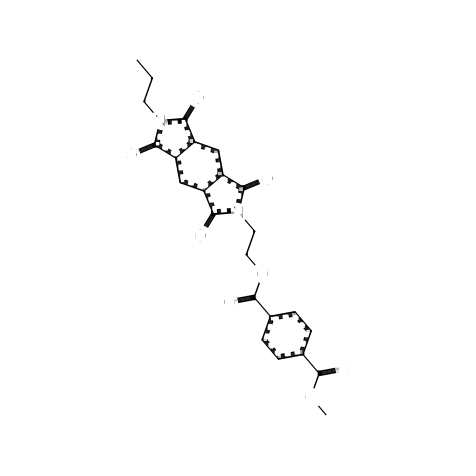 CCCn1c(=O)c2cc3c(=O)n(CCOC(=O)c4ccc(C(=O)OC)cc4)c(=O)c3cc2c1=O